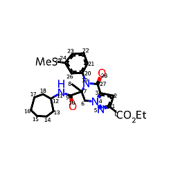 CCOC(=O)c1cc2n(n1)CC(C)(C(=O)NC1CCCCCC1)N(c1cccc(SC)c1)C2=O